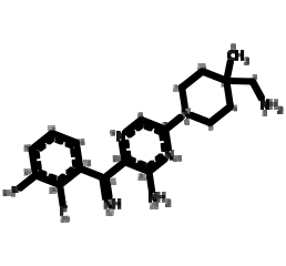 CC1(CN)CCN(c2cnc(C(=N)c3cccc(F)c3F)c(N)n2)CC1